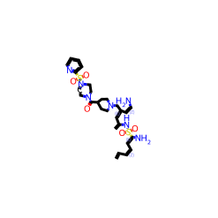 C=C/C=C\C=C(/N)S(=O)(=O)NC(=C)/C=C(\C=C/N)CN1CCC(C(=O)N2CCN(S(=O)(=O)c3ccccn3)CC2)CC1